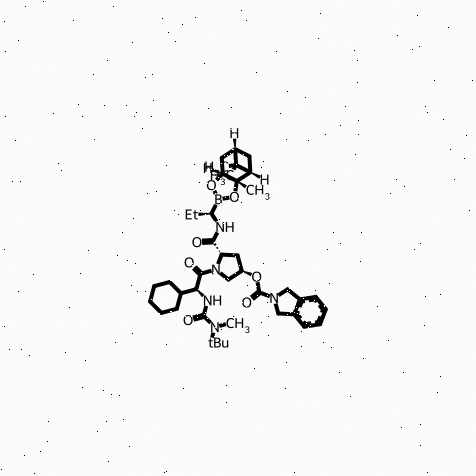 CC[C@H](NC(=O)[C@@H]1C[C@@H](OC(=O)N2Cc3ccccc3C2)CN1C(=O)[C@@H](NC(=O)N(C)C(C)(C)C)C1CCCCC1)B1O[C@@H]2C[C@@H]3C[C@@H](C3(C)C)[C@]2(C)O1